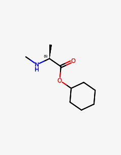 CN[C@@H](C)C(=O)OC1CCCCC1